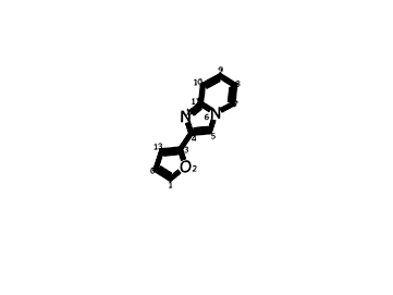 c1coc(-c2cn3ccccc3n2)c1